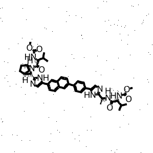 COC(=O)N[C@H](C(=O)N[C@@H](C)c1ncc(-c2ccc(-c3ccc4cc(-c5cnc([C@@H]6[C@H]7CC[C@H](C7)N6C(=O)[C@@H](NC(=O)OC)C(C)C)[nH]5)ccc4c3)cc2)[nH]1)C(C)C